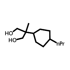 CCCC1CCC(C(C)(CO)CO)CC1